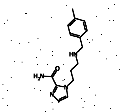 Cc1ccc(CNCCCn2c[c]nc2C(N)=O)cc1